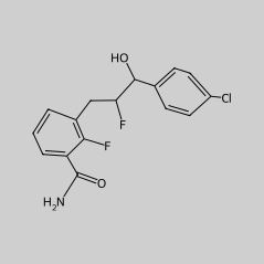 NC(=O)c1cccc(CC(F)C(O)c2ccc(Cl)cc2)c1F